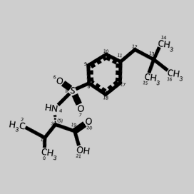 CC(C)[C@H](NS(=O)(=O)c1ccc(CC(C)(C)C)cc1)C(=O)O